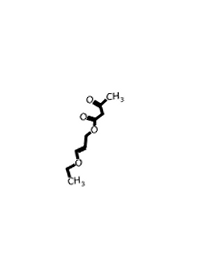 CCOC=CCOC(=O)CC(C)=O